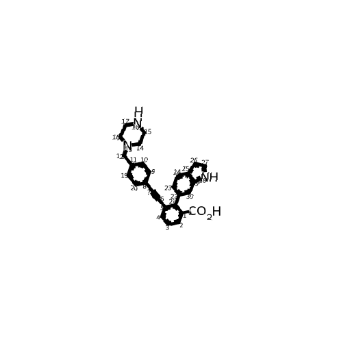 O=C(O)c1cccc(C#Cc2ccc(CN3CCNCC3)cc2)c1-c1ccc2cc[nH]c2c1